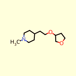 CN1CCC(CCOC2CCOC2)CC1